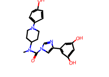 CN(C(=O)n1cnc(-c2cc(O)cc(O)c2)c1)C1CCN(c2ccc(O)cc2)CC1